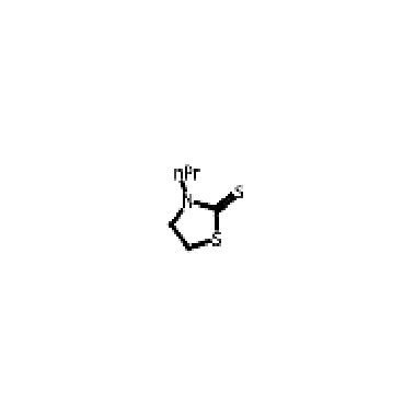 CCCN1CCSC1=S